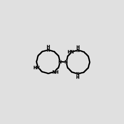 C1CCNCCN(N2CCNCCCNCCNC2)CNNCC1